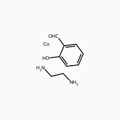 NCCN.O=Cc1ccccc1O.[Co]